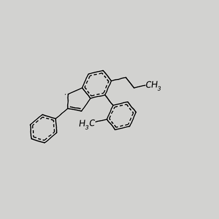 CCCc1ccc2c(c1-c1ccccc1C)C=C(c1ccccc1)[CH]2